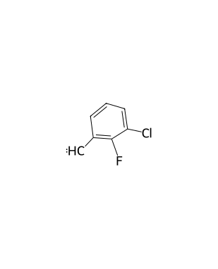 [CH]c1cccc(Cl)c1F